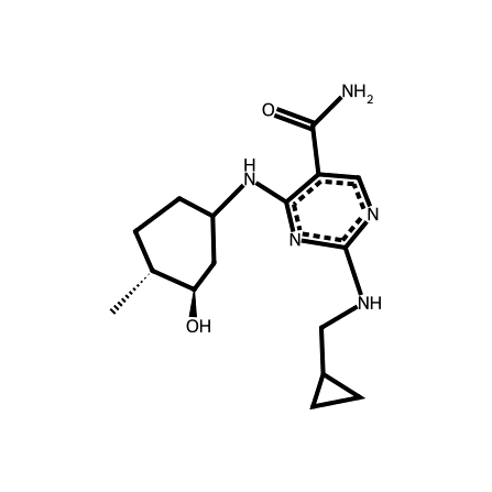 C[C@@H]1CCC(Nc2nc(NCC3CC3)ncc2C(N)=O)C[C@H]1O